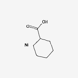 O=C(O)C1CCCCC1.[Ni]